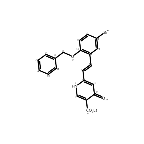 CCOC(=O)c1c[nH]c(C=Cc2cc(Br)ccc2OCc2ccccc2)cc1=O